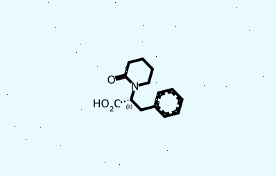 O=C(O)[C@@H](Cc1ccccc1)N1CCCCC1=O